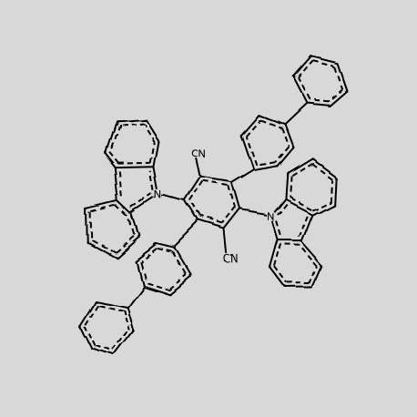 N#Cc1c(-c2ccc(-c3ccccc3)cc2)c(-n2c3ccccc3c3ccccc32)c(C#N)c(-c2ccc(-c3ccccc3)cc2)c1-n1c2ccccc2c2ccccc21